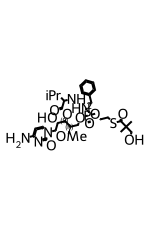 COC(C(O)[C@@H](OC(=O)C(N)C(C)C)[C@H](C)COP(=O)(NCc1ccccc1)OCCSC(=O)C(C)(C)CO)n1ccc(N)nc1=O